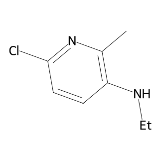 CCNc1ccc(Cl)nc1C